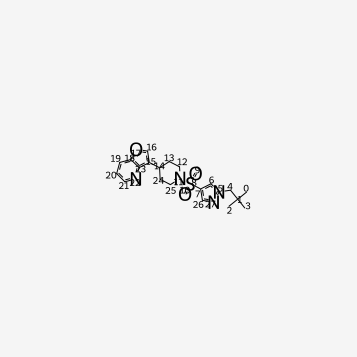 CC(C)(C)Cn1cc(S(=O)(=O)N2CCC(c3coc4cccnc34)CC2)cn1